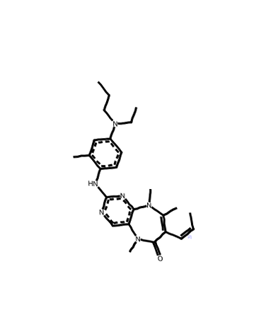 C/C=C\C1=C(C)N(C)c2nc(Nc3ccc(N(CC)CCC)cc3C)ncc2N(C)C1=O